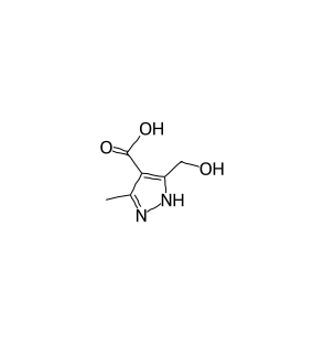 Cc1n[nH]c(CO)c1C(=O)O